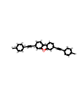 Cc1ccc(C#Cc2ccc3c(c2)oc2cc(C#Cc4ccc(C)cc4)ccc23)cc1